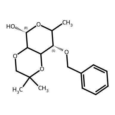 CC1O[C@@H](O)C2OCC(C)(C)OC2[C@H]1OCc1ccccc1